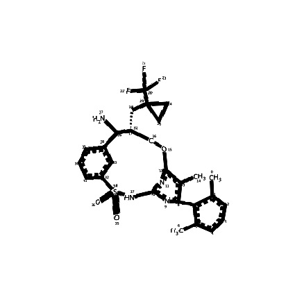 Cc1cccc(C)c1-c1nc2nc(c1C)OC[C@@H](CC1(C(F)(F)F)CC1)C(N)c1cccc(c1)S(=O)(=O)N2